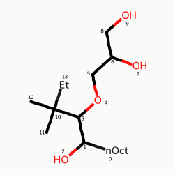 CCCCCCCCC(O)C(OCC(O)CO)C(C)(C)CC